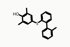 Cc1ccccc1-c1ccccc1Sc1cc(C)c(O)c(C)c1